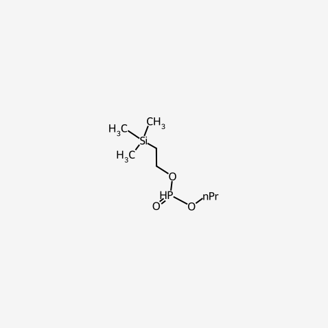 CCCO[PH](=O)OCC[Si](C)(C)C